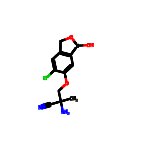 CC(N)(C#N)COc1cc2c(cc1Cl)COB2O